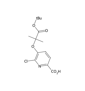 CC(C)(C)OC(=O)C(C)(C)Oc1ccc(C(=O)O)nc1Cl